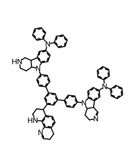 C1=NCCC2C1c1cc(N(c3ccccc3)c3ccccc3)ccc1N2c1ccc(-c2cc(-c3ccc(N4c5ccc(N(c6ccccc6)c6ccccc6)cc5C5CNCCC54)cc3)cc(C3CCNc4c3ccc3c4N=CCC3)c2)cc1